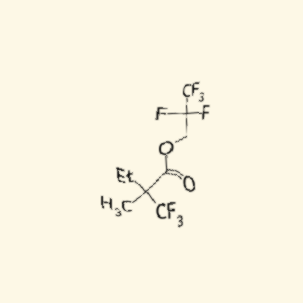 CCC(C)(C(=O)OCC(F)(F)C(F)(F)F)C(F)(F)F